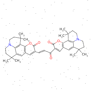 CC1(C)CCN2CCC(C)(C)c3c2c1cc1cc(/C=C/C(=O)c2cc4cc5c6c(c4oc2=O)C(C)(C)CCN6CCC5(C)C)c(=O)oc31